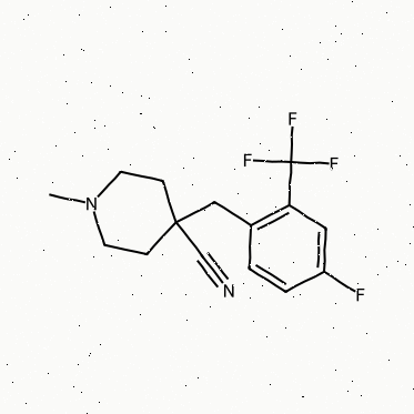 CN1CCC(C#N)(Cc2ccc(F)cc2C(F)(F)F)CC1